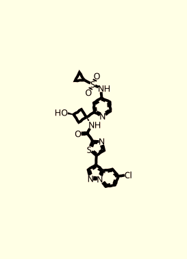 O=C(N[C@]1(c2cc(NS(=O)(=O)C3CC3)ccn2)C[C@@H](O)C1)c1ncc(-c2cnn3ccc(Cl)cc23)s1